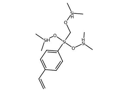 C=Cc1ccc([Si](CO[SiH](C)C)(O[SiH](C)C)O[SiH](C)C)cc1